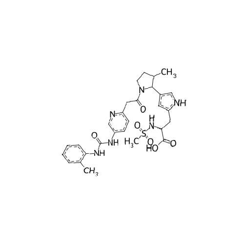 Cc1ccccc1NC(=O)Nc1ccc(CC(=O)N2CCC(C)C2c2c[nH]c(CC(NS(C)(=O)=O)C(=O)O)c2)nc1